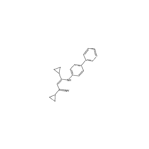 N=C(/C=C(\Nc1ccc(-c2ccccc2)cc1)C1CC1)C1CC1